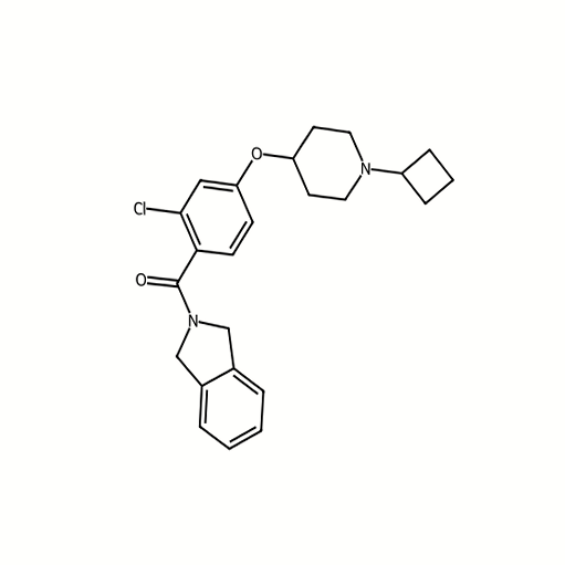 O=C(c1ccc(OC2CCN(C3CCC3)CC2)cc1Cl)N1Cc2ccccc2C1